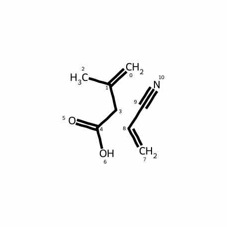 C=C(C)CC(=O)O.C=CC#N